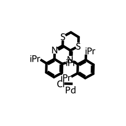 CC(C)c1cccc(C(C)C)c1/N=C1\SCCS\C1=N\c1c(C(C)C)cccc1C(C)C.CCl.[Pd]